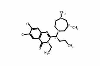 CCC[C@@H](c1nc2cc(Cl)c(Cl)cc2c(=O)n1CC)N1CCN(C)C[C@H](C)C1